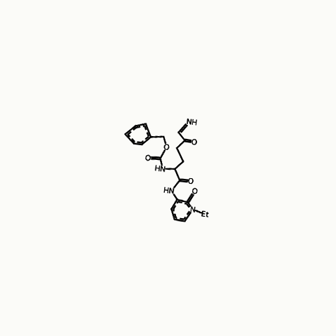 CCn1cccc(NC(=O)C(CCC(=O)C=N)NC(=O)OCc2ccccc2)c1=O